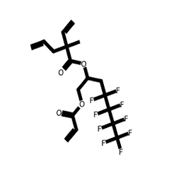 C=CCC(C)(C=C)C(=O)OC(COC(=O)C=C)CC(F)(F)C(F)(F)C(F)(F)C(F)(F)F